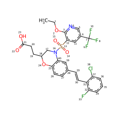 CCOc1ncc(C(F)(F)F)cc1S(=O)(=O)N1CC(CCC(=O)O)Oc2ccc(C=Cc3c(F)cccc3Cl)cc21